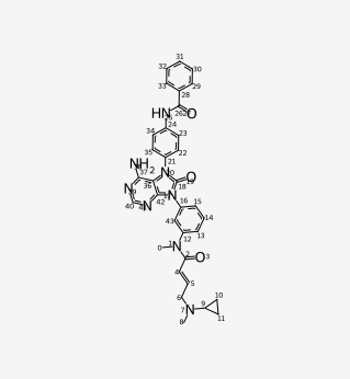 CN(C(=O)C=CCN(C)C1CC1)c1cccc(-n2c(=O)n(-c3ccc(NC(=O)c4ccccc4)cc3)c3c(N)ncnc32)c1